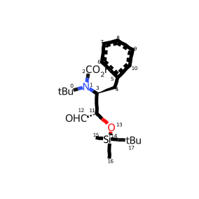 CC(C)(C)N(C(=O)O)[C@@H](Cc1ccccc1)[C@@H](C=O)O[Si](C)(C)C(C)(C)C